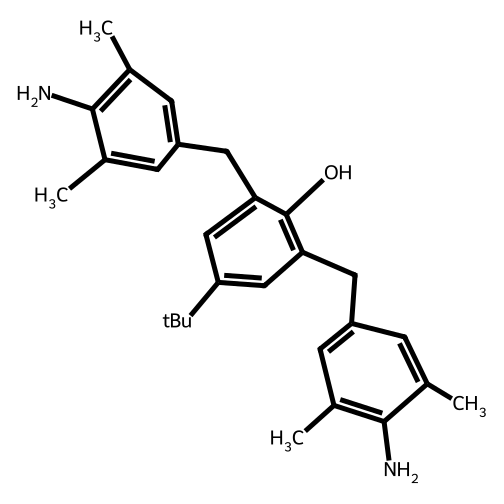 Cc1cc(Cc2cc(C(C)(C)C)cc(Cc3cc(C)c(N)c(C)c3)c2O)cc(C)c1N